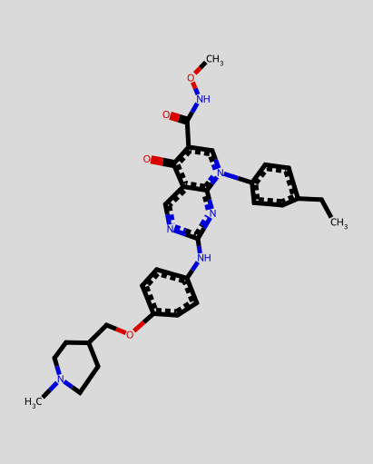 CCc1ccc(-n2cc(C(=O)NOC)c(=O)c3cnc(Nc4ccc(OCC5CCN(C)CC5)cc4)nc32)cc1